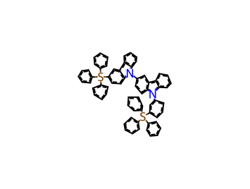 c1ccc(S(c2ccccc2)(c2ccccc2)c2cccc(-n3c4ccccc4c4cc(-n5c6ccccc6c6cc(S(c7ccccc7)(c7ccccc7)c7ccccc7)ccc65)ccc43)c2)cc1